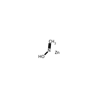 C=NO.[Zn]